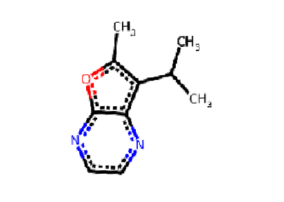 Cc1oc2nccnc2c1C(C)C